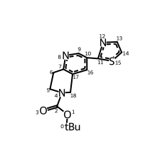 CC(C)(C)OC(=O)N1CCc2ncc(-c3nccs3)cc2C1